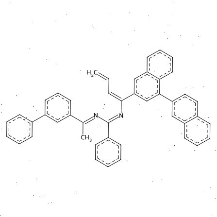 C=C/C=C(/N=C(\N=C(/C)c1cccc(-c2ccccc2)c1)c1ccccc1)c1cc(-c2ccc3ccccc3c2)c2ccccc2c1